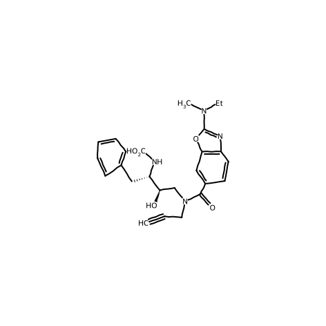 C#CCN(C[C@@H](O)[C@H](Cc1ccccc1)NC(=O)O)C(=O)c1ccc2nc(N(C)CC)oc2c1